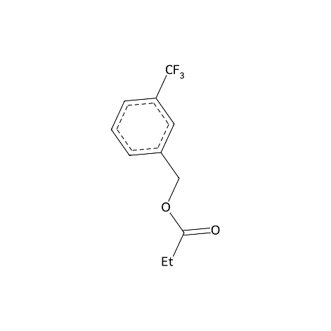 CCC(=O)OCc1cccc(C(F)(F)F)c1